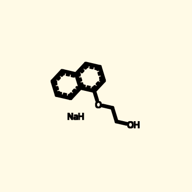 OCCOc1cccc2ccccc12.[NaH]